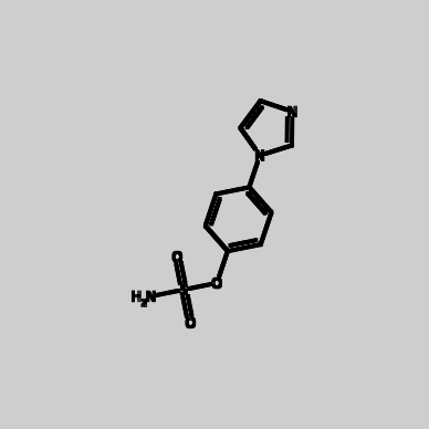 NS(=O)(=O)Oc1ccc(-n2ccnc2)cc1